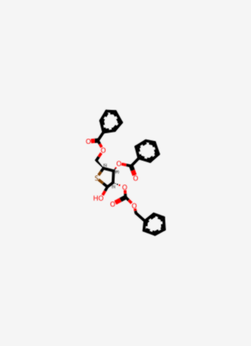 O=C(OCc1ccccc1)O[C@@H]1C(O)S[C@@H](COC(=O)c2ccccc2)[C@@H]1OC(=O)c1ccccc1